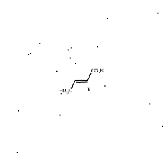 O=C(O)C=CC(=O)O.[Ti]